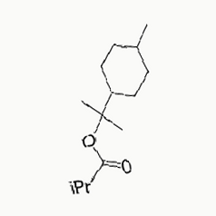 CC1CCC(C(C)(C)OC(=O)C(C)C)CC1